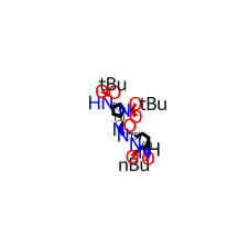 CCCCON1C(=O)N2C[C@@H]1CC[C@H]2c1nnc([C@@H]2C[C@@H](NC(=O)OC(C)(C)C)CN2C(=O)OC(C)(C)C)o1